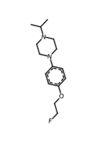 CC(C)N1CCN(c2ccc(OCCF)cc2)CC1